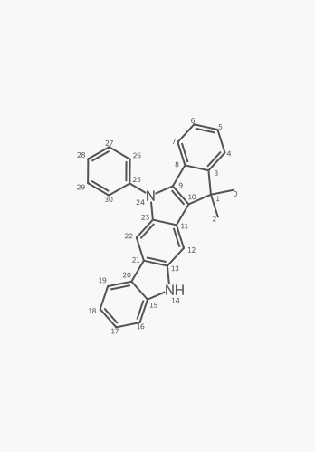 CC1(C)c2ccccc2-c2c1c1cc3[nH]c4ccccc4c3cc1n2-c1ccccc1